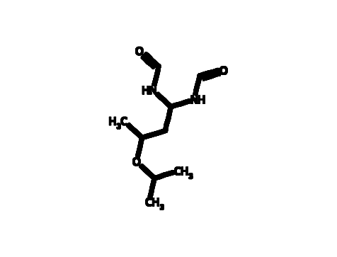 CC(C)OC(C)CC(NC=O)NC=O